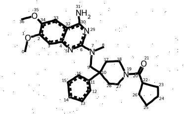 COc1cc2nc(N(C)CC3(c4ccccc4)CCN(C(=O)C4CCCC4)CC3)nc(N)c2cc1OC